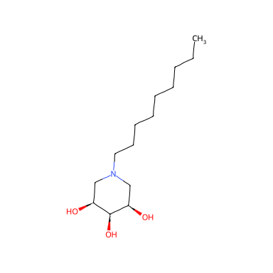 CCCCCCCCCN1C[C@@H](O)[C@@H](O)[C@@H](O)C1